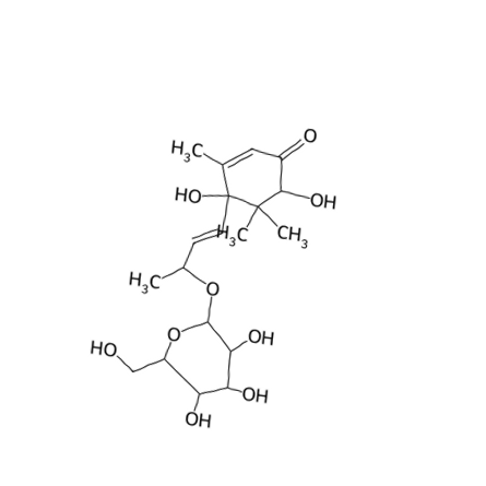 CC1=CC(=O)C(O)C(C)(C)C1(O)/C=C/C(C)OC1OC(CO)C(O)C(O)C1O